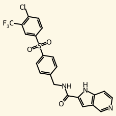 O=C(NCc1ccc(S(=O)(=O)c2ccc(Cl)c(C(F)(F)F)c2)cc1)c1cc2cnccc2[nH]1